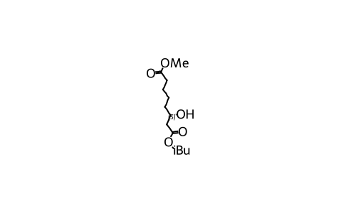 CCC(C)OC(=O)C[C@@H](O)CCCCC(=O)OC